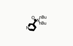 CCCCN(CCCC)C(=O)c1cccnc1